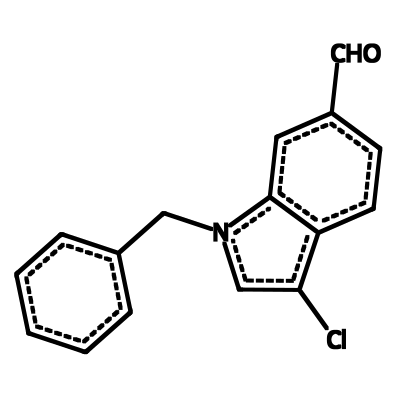 O=Cc1ccc2c(Cl)cn(Cc3ccccc3)c2c1